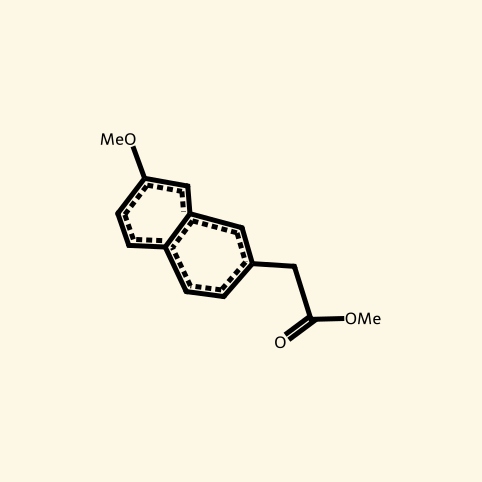 COC(=O)Cc1ccc2ccc(OC)cc2c1